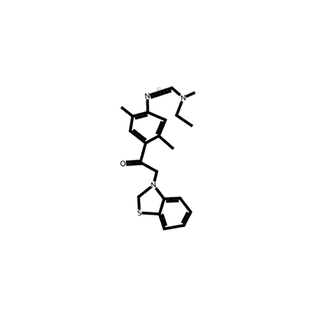 CCN(C)/C=N\c1cc(C)c(C(=O)CN2CSc3ccccc32)cc1C